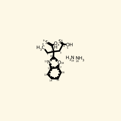 CCC(CC(O)=S)(C(O)=S)c1nc2ccccc2o1.N.N